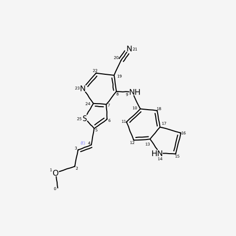 COC/C=C/c1cc2c(Nc3ccc4[nH]ccc4c3)c(C#N)cnc2s1